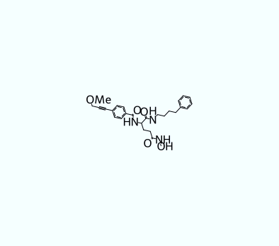 COCC#Cc1ccc(C(=O)NC(CCC(=O)NO)C(=O)NCCCCc2ccccc2)cc1